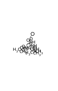 CC(OC(=O)N[C@@H]1C[C@H](NC(=O)OC(C)(C)C)C=C[C@H]1NC(=O)OCc1ccccc1)[Si](C)(C)C